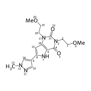 COCCn1c(=O)c2[nH]c(-c3cnn(C)c3)cc2n(CCOC)c1=O